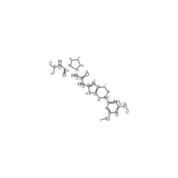 COc1cc(N2CCc3nc(NC(=O)N[C@H]4CCC[C@H]4C(=O)NC(C)C)sc3C2)nc(OC)n1